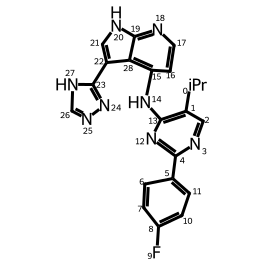 CC(C)c1cnc(-c2ccc(F)cc2)nc1Nc1ccnc2[nH]cc(-c3nnc[nH]3)c12